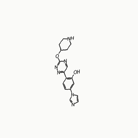 Oc1cc(-n2ccnc2)ccc1-c1cnc(OC2CCNCC2)nn1